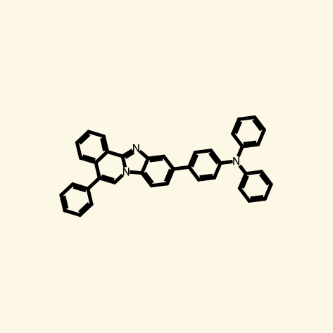 c1ccc(-c2cn3c4ccc(-c5ccc(N(c6ccccc6)c6ccccc6)cc5)cc4nc3c3ccccc23)cc1